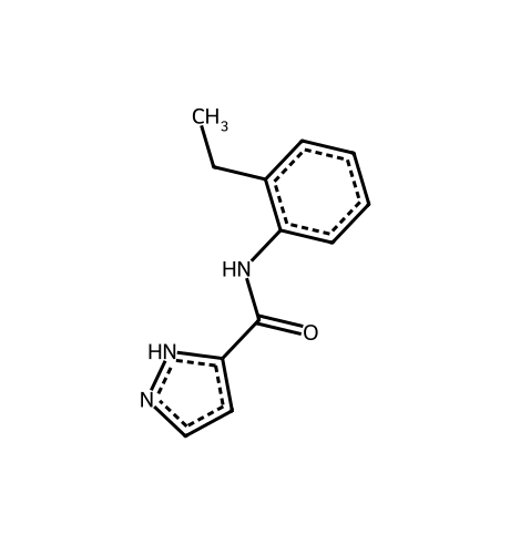 CCc1ccccc1NC(=O)c1ccn[nH]1